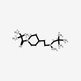 CN(CCC1CCN(C(=O)C(C)(C)C)CC1)CC(C)(C)C